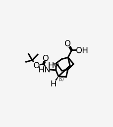 CC(C)(C)OC(=O)NC1[C@@H]2CC3C[C@H]1CC(C(=O)O)(C3)C2